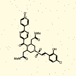 CNC(=O)CC1CN(S(=O)(=O)/C=C/c2ccc(Cl)cc2O)CC(CC(=O)NC)N1C(=O)c1cnc(-c2cc[n+]([O-])cc2)nc1